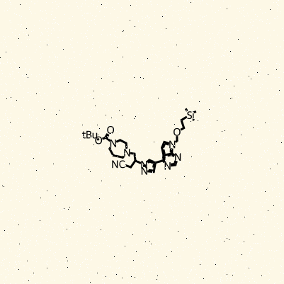 CC(C)(C)OC(=O)N1CCCN(CC(CC#N)n2cc(-c3ncnc4c3ccn4COCC[Si](C)(C)C)cn2)CC1